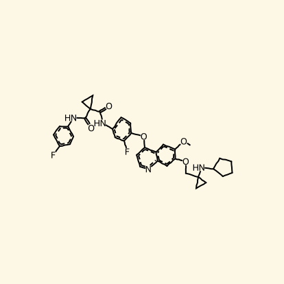 COc1cc2c(Oc3ccc(NC(=O)C4(C(=O)Nc5ccc(F)cc5)CC4)cc3F)ccnc2cc1OCC1(NC2CCCC2)CC1